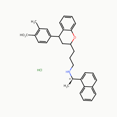 Cc1cc(C2CC(CCCN[C@H](C)c3cccc4ccccc34)Oc3ccccc32)ccc1C(=O)O.Cl